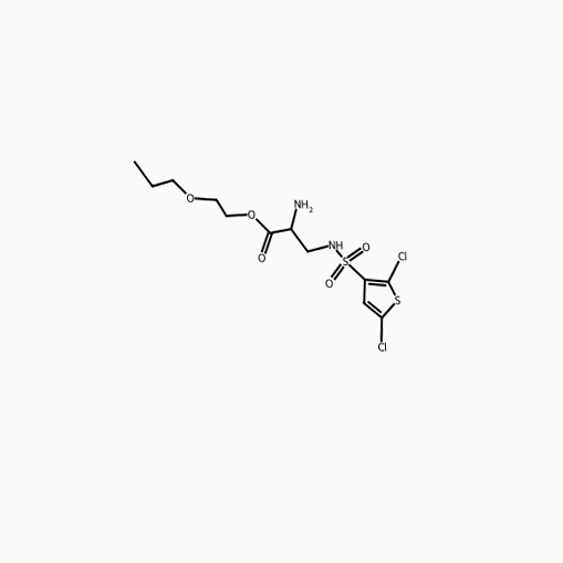 CCCOCCOC(=O)C(N)CNS(=O)(=O)c1cc(Cl)sc1Cl